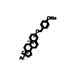 COc1ccc(CO[C@H]2CC[C@@]3(C)C(=CCC4C3CC[C@@]3(C)C4CC[C@]3(C)C(C)=O)C2)cc1